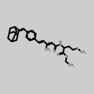 CCOC(=O)C(CCSC)NC(=O)/C=C(C)/C=C/c1ccc(C=C2C3CC4CC(C3)CC2C4)cc1